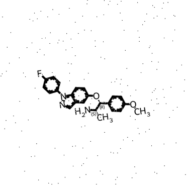 COc1ccc([C@@H](Oc2ccc3c(cnn3-c3ccc(F)cc3)c2)[C@H](C)N)cc1